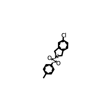 Cc1ccc(S(=O)(=O)N2Cc3ccc(Cl)cc3C2)cc1